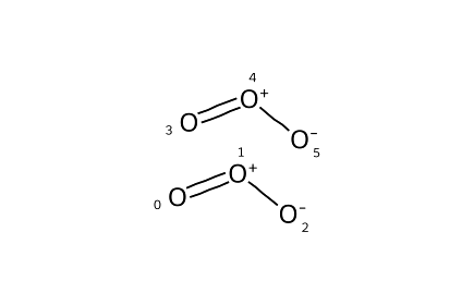 O=[O+][O-].O=[O+][O-]